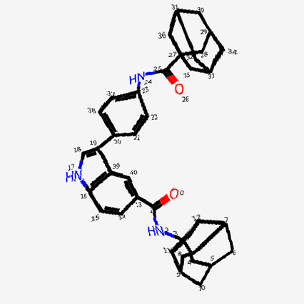 O=C(NC12CC3CC(CC(C3)C1)C2)c1ccc2[nH]cc(-c3ccc(NC(=O)C45CC6CC(CC(C6)C4)C5)cc3)c2c1